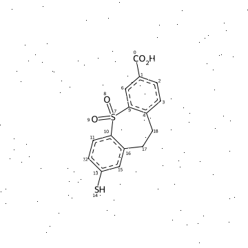 O=C(O)c1ccc2c(c1)S(=O)(=O)c1ccc(S)cc1CC2